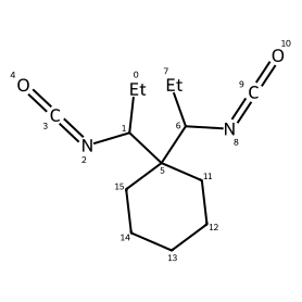 CCC(N=C=O)C1(C(CC)N=C=O)CCCCC1